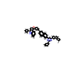 CC1(C)c2ccccc2-c2cc(-c3cc(-c4ccc5cc(-c6ccc7oc8ccc9c(-c%10ccccc%10)nc%10ccccc%10c9c8c7c6)ccc5c4)nc(-c4ccccc4)n3)ccc21